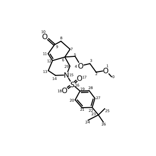 COCCOCC12CCC(=O)C=C1CCN(S(=O)(=O)c1ccc(C(C)(C)C)cc1)C2